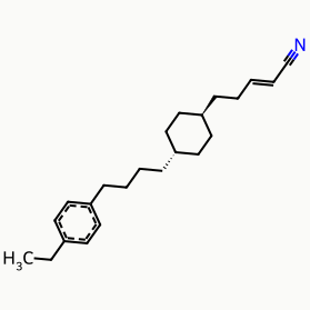 CCc1ccc(CCCC[C@H]2CC[C@H](CCC=CC#N)CC2)cc1